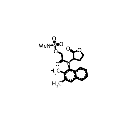 CNS(=O)(=O)OCC(=O)N(c1c(C)c(C)cc2ccccc12)C1CCOC1=O